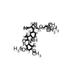 COc1cc(OC)c(F)c(N2Nc3ccc(-c4c(C#N)cnn4COCC[Si](C)(C)C)cc3C3(CC3)C2=O)c1F